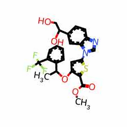 COC(=O)c1sc(-n2cnc3ccc(C(O)CO)cc32)cc1OC(C)c1ccccc1C(F)(F)F